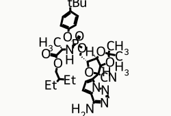 CCC(CC)COC(=O)[C@H](C)NP(=O)(OC[C@H]1O[C@@](C#N)(c2ccc3c(N)ncnn23)[C@@H]2OC(C)(C)O[C@@H]21)Oc1ccc(C(C)(C)C)cc1